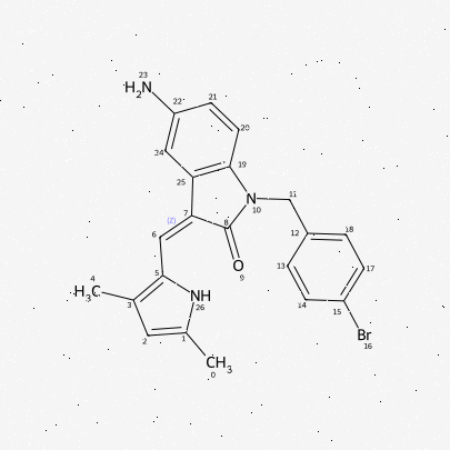 Cc1cc(C)c(/C=C2\C(=O)N(Cc3ccc(Br)cc3)c3ccc(N)cc32)[nH]1